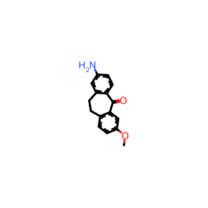 COc1ccc2c(c1)C(=O)c1ccc(N)cc1CC2